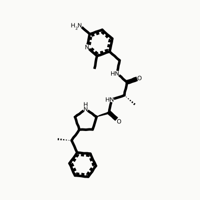 Cc1nc(N)ccc1CNC(=O)[C@H](C)NC(=O)[C@H]1CC([C@@H](C)c2ccccc2)CN1